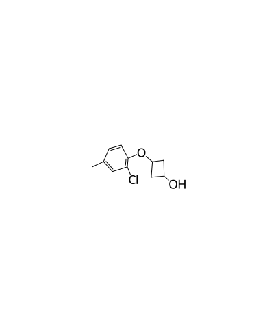 Cc1ccc(OC2CC(O)C2)c(Cl)c1